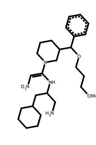 COCCCOC(c1ccccc1)C1CCCN(C(=C[N+](=O)[O-])NC(CN)CC2CCCCC2)C1